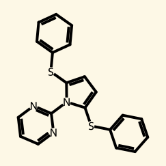 c1ccc(Sc2ccc(Sc3ccccc3)n2-c2ncccn2)cc1